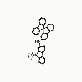 CC1(C)c2ccccc2-c2ccc(Nc3ccc4c(c3)C3(C5=C4C=CCC5)c4ccccc4-c4ccccc43)cc21